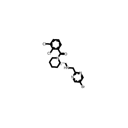 O=C(c1cccc(Cl)c1Cl)N1CCCC[C@H]1CNCc1ncc(Br)cn1